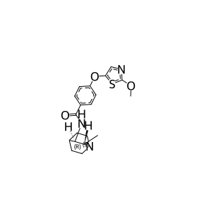 COc1ncc(Oc2ccc(C(=O)N[C@@H]3C4CCN(CC4)[C@H]3C)cc2)s1